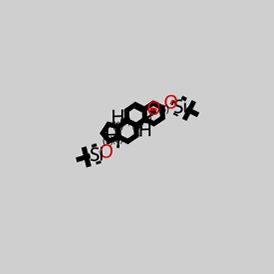 CC(C)(C)[Si](C)(C)O[C@H]1CC[C@@]2(C=O)C(=CC[C@H]3[C@@H]4CC[C@H](O[Si](C)(C)C(C)(C)C)[C@@]4(C)CC[C@@H]32)C1